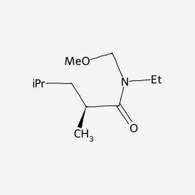 CCN(COC)C(=O)[C@@H](C)CC(C)C